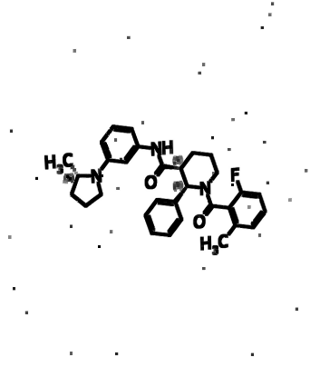 Cc1cccc(F)c1C(=O)N1CCC[C@H](C(=O)Nc2cccc(N3CCC[C@@H]3C)c2)[C@@H]1c1ccccc1